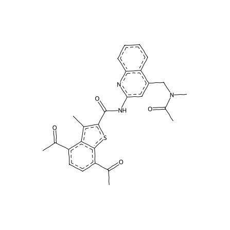 CC(=O)c1ccc(C(C)=O)c2c(C)c(C(=O)Nc3cc(CN(C)C(C)=O)c4ccccc4n3)sc12